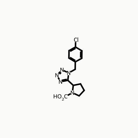 O=C(O)N1CCCC1c1nnnn1Cc1ccc(Cl)cc1